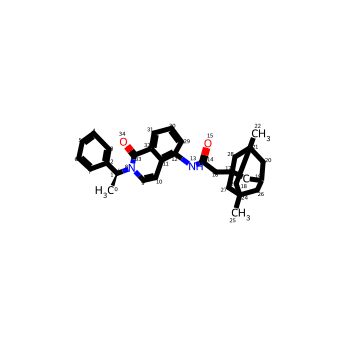 C[C@@H](c1ccccc1)n1ccc2c(NC(=O)CC34CC5CC(C)(CC(C)(C5)C3)C4)cccc2c1=O